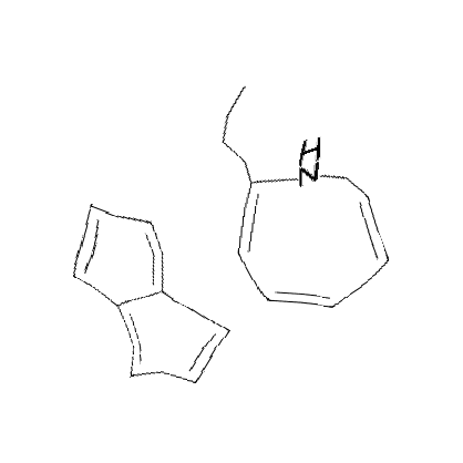 C1=CC2=CC=CC2=C1.CCC1=CC=CC=CN1